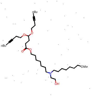 CCCCC#CCCOC(CCC(=O)OCCCCCCCN(CCO)CCCCCCCOC)OCCC#CCCCC